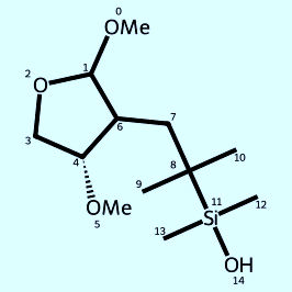 COC1OC[C@@H](OC)C1CC(C)(C)[Si](C)(C)O